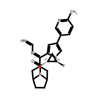 Cc1ccc(-c2c[nH]c(/C(=N\C=N)N3CC4CCC(C3)N4C(=O)[C@@H]3C[C@H]3F)c2)cn1